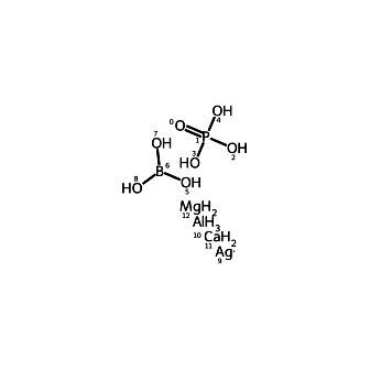 O=P(O)(O)O.OB(O)O.[Ag].[AlH3].[CaH2].[MgH2]